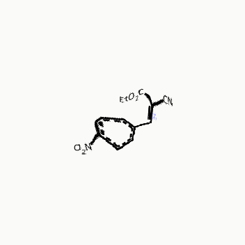 CCOC(=O)/C(C#N)=C\c1ccc([N+](=O)[O-])cc1